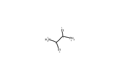 CCC(N)C(P)CC